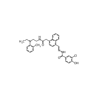 CCN(CCNC(=O)Cc1ccc(/C=N/NC(=O)c2ccc(O)c(Cl)c2)c2ccccc12)c1ccccc1C